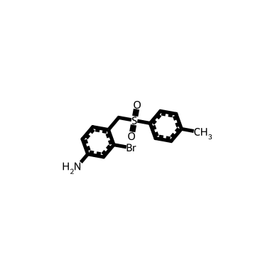 Cc1ccc(S(=O)(=O)Cc2ccc(N)cc2Br)cc1